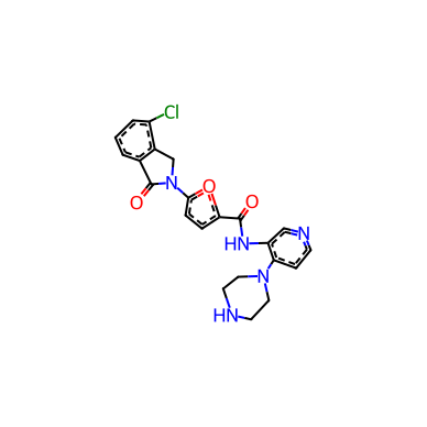 O=C(Nc1cnccc1N1CCNCC1)c1ccc(N2Cc3c(Cl)cccc3C2=O)o1